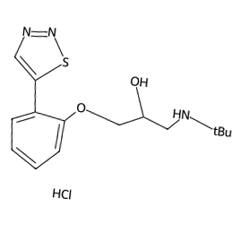 CC(C)(C)NCC(O)COc1ccccc1-c1cnns1.Cl